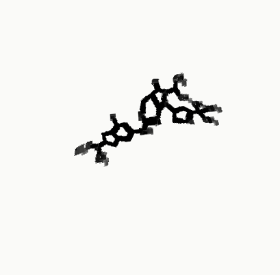 CC(C)n1c(=O)c2cnc(Nc3cc(F)c4c(c3)CC(N(C)C)C4)nc2n1-c1ccnc(C(C)(C)C)c1